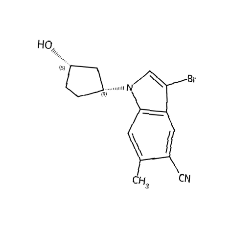 Cc1cc2c(cc1C#N)c(Br)cn2[C@@H]1CC[C@H](O)C1